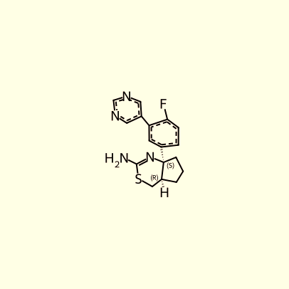 NC1=N[C@@]2(c3ccc(F)c(-c4cncnc4)c3)CCC[C@H]2CS1